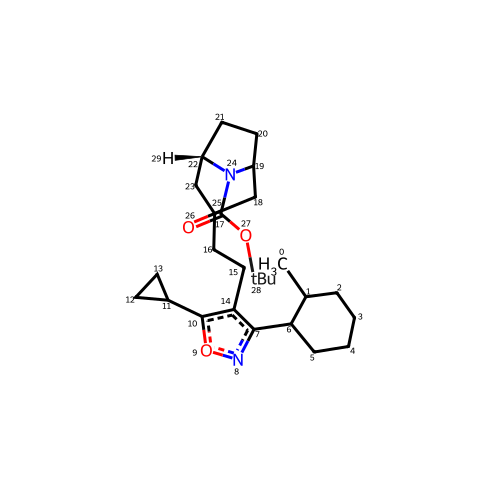 CC1CCCCC1c1noc(C2CC2)c1CCC1CC2CC[C@@H](C1)N2C(=O)OC(C)(C)C